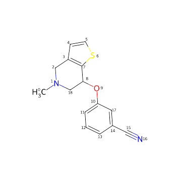 CN1Cc2ccsc2C(Oc2cccc(C#N)c2)C1